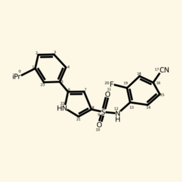 CC(C)c1cccc(-c2cc(S(=O)(=O)Nc3ccc(C#N)cc3F)c[nH]2)c1